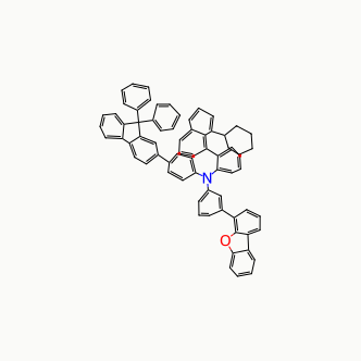 c1ccc(C2(c3ccccc3)c3ccccc3-c3ccc(-c4ccc(N(c5cccc(-c6cccc7c6oc6ccccc67)c5)c5ccccc5-c5cccc6cccc(C7CCCCC7)c56)cc4)cc32)cc1